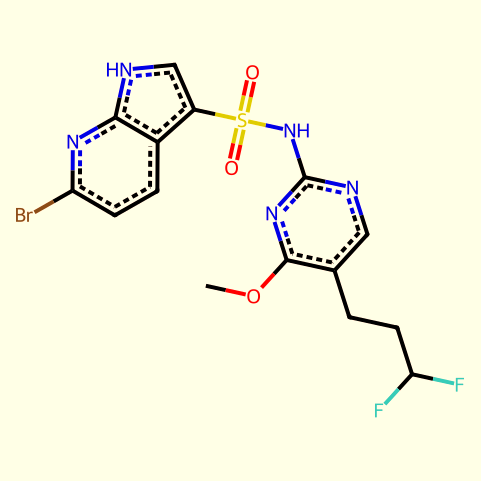 COc1nc(NS(=O)(=O)c2c[nH]c3nc(Br)ccc23)ncc1CCC(F)F